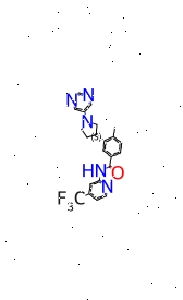 Cc1ccc(C(=O)Nc2cc(C(F)(F)F)ccn2)cc1[C@@H]1CCN(c2cncnc2)C1